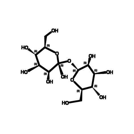 OC[C@H]1O[C@H](O[C@@]2(O)O[C@H](CO)[C@@H](O)[C@H](O)[C@@H]2O)[C@@H](O)[C@@H](O)[C@@H]1O